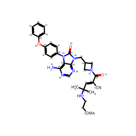 COCCNC(C)(C)C=C(C#N)C(=O)N1CC(Cn2c(=O)n(-c3ccc(Oc4ccccc4)cc3)c3c(N)ncnc32)C1